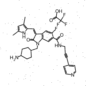 Cc1cc(C)c(/C=C2\C(=O)N(CC3CCC(N)CC3)c3cc(C(=O)NCC#Cc4ccncc4)c(F)cc32)[nH]1.O=C(O)C(F)(F)F